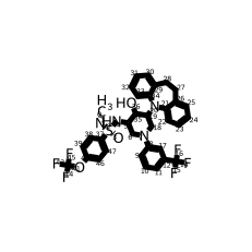 CN=S(=O)(NC1CN(c2cccc(C(F)(F)F)c2)CC(N2c3ccccc3CCc3ccccc32)C1O)c1ccc(OC(F)(F)F)cc1